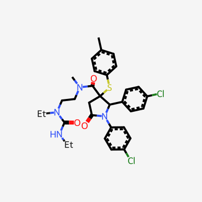 CCNC(=O)N(CC)CCN(C)C(=O)C1(Sc2ccc(C)cc2)CC(=O)N(c2ccc(Cl)cc2)C1c1ccc(Cl)cc1